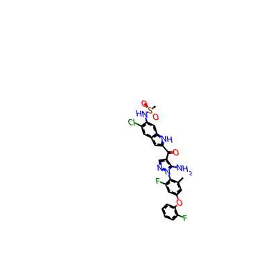 Cc1cc(Oc2ccccc2F)cc(F)c1-n1ncc(C(=O)c2cc3cc(Cl)c(NS(C)(=O)=O)cc3[nH]2)c1N